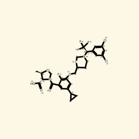 C[C@H]1OCN(C(=O)c2cc(C3CC3)cc(OCC3CCN([C@H](c4cc(Cl)cc(Cl)c4)C(F)(F)F)CC3)c2F)[C@@H]1C(=O)O